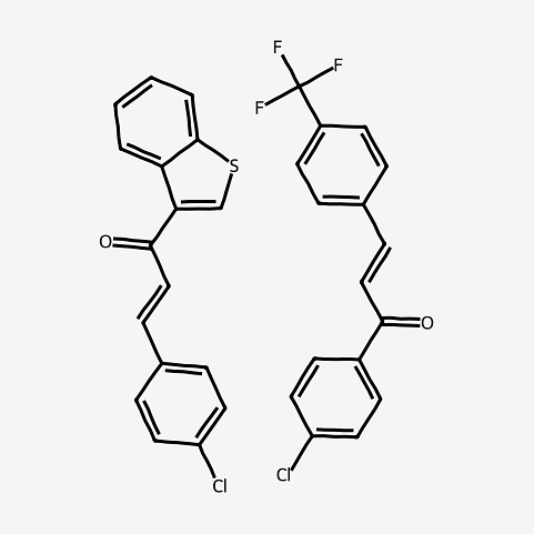 O=C(/C=C/c1ccc(C(F)(F)F)cc1)c1ccc(Cl)cc1.O=C(/C=C/c1ccc(Cl)cc1)c1csc2ccccc12